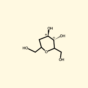 OCC1C[C@@H](O)[C@H](O)C(CO)O1